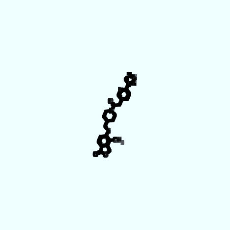 Cc1c(SCC2CCN(C(=O)Cc3ccc(-n4cnnn4)nc3)CC2)ccc2c1COC2=O